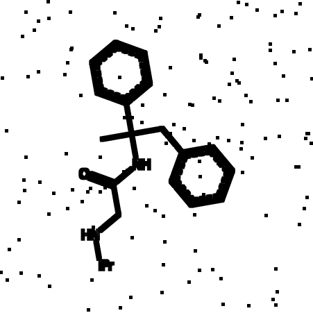 CC(C)NCC(=O)NC(C)(Cc1ccccc1)c1ccccc1